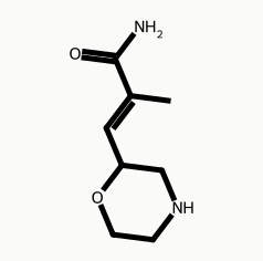 C/C(=C\C1CNCCO1)C(N)=O